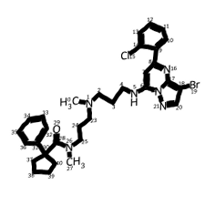 CN(CCCNc1cc(-c2ccccc2Cl)nc2c(Br)cnn12)CCCN(C)C(=O)C1(c2ccccc2)CCCC1